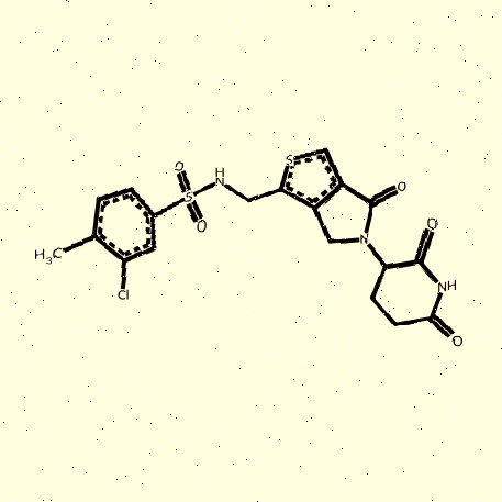 Cc1ccc(S(=O)(=O)NCc2scc3c2CN(C2CCC(=O)NC2=O)C3=O)cc1Cl